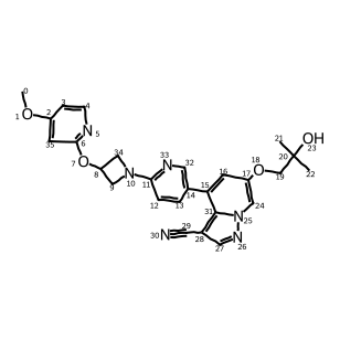 COc1ccnc(OC2CN(c3ccc(-c4cc(OCC(C)(C)O)cn5ncc(C#N)c45)cn3)C2)c1